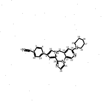 N#Cc1ccc(-c2cc3n(c2)Cc2cc(N4CCCCC4)ncc2-n2ccnc2-3)cc1